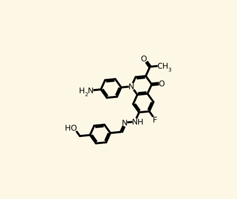 CC(=O)c1cn(-c2ccc(N)cc2)c2cc(N/N=C/c3ccc(CO)cc3)c(F)cc2c1=O